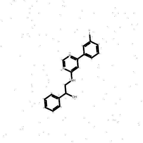 OC(CNc1cc(-c2cccc(I)c2)ncn1)c1ccccc1